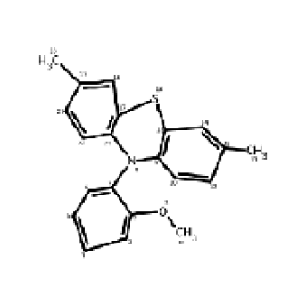 COc1ccccc1N1c2ccc(C)cc2Sc2cc(C)ccc21